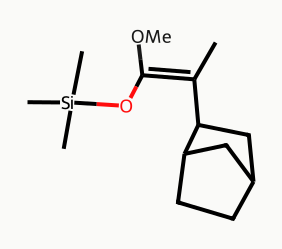 COC(O[Si](C)(C)C)=C(C)C1CC2CCC1C2